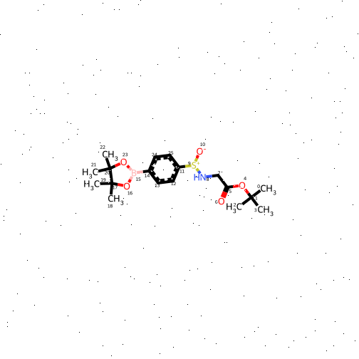 CC(C)(C)OC(=O)CN[S+]([O-])c1ccc(B2OC(C)(C)C(C)(C)O2)cc1